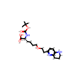 CC(C)(C)OC(=O)N[C@@H](CCCCOCCc1ccc2c(n1)CCCN2)C(=O)O